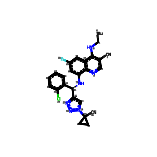 CC(C)(C)CNc1c(C#N)cnc2c(N[C@H](c3cn(C4(C#N)CC4)nn3)c3ccccc3Cl)cc(F)cc12